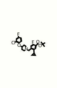 CC(C)(C)OC(=O)c1cc(C2CC2)c(CN2CCC(Oc3ccc(F)cc3Cl)CC2)cc1F